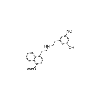 COc1ccc(CCNCCc2cc(O)cc(N=O)c2)c2ccccc12